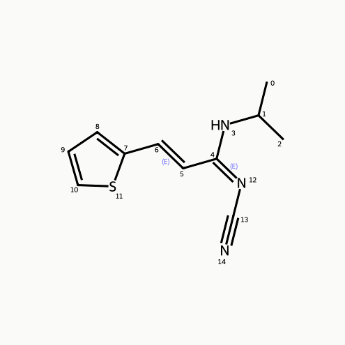 CC(C)NC(/C=C/c1cccs1)=N/C#N